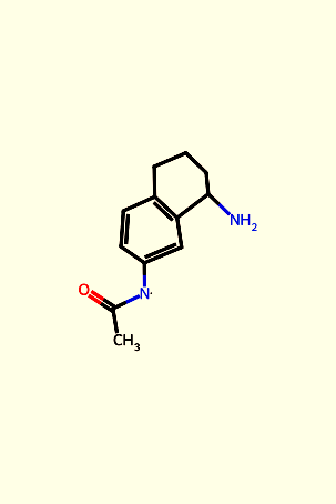 CC(=O)[N]c1ccc2c(c1)C(N)CCC2